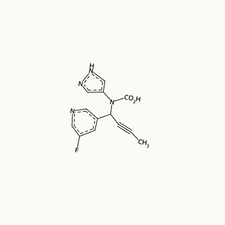 CC#CC(c1cncc(F)c1)N(C(=O)O)c1cn[nH]c1